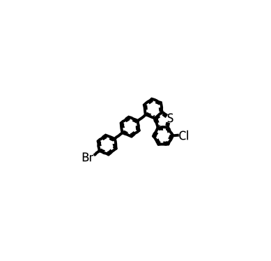 Clc1cccc2c1sc1cccc(-c3ccc(-c4ccc(Br)cc4)cc3)c12